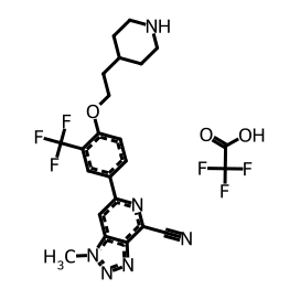 Cn1nnc2c(C#N)nc(-c3ccc(OCCC4CCNCC4)c(C(F)(F)F)c3)cc21.O=C(O)C(F)(F)F